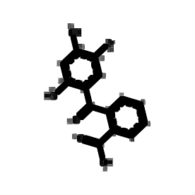 O=C(O)c1ccccc1C(=O)c1cc(Br)c(O)cc1O